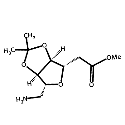 COC(=O)C[C@@H]1O[C@H](CN)[C@H]2OC(C)(C)O[C@H]21